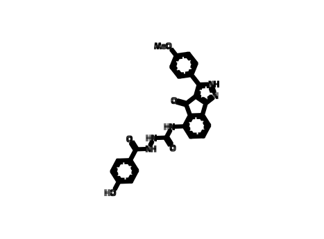 COc1ccc(-c2[nH]nc3c2C(=O)c2c(NC(=O)NNC(=O)c4ccc(O)cc4)cccc2-3)cc1